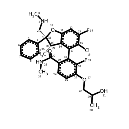 CNC[C@]1(c2ccccc2)Oc2cc(F)c(Cl)c(-c3c(C(=O)NC)ccc(OCC(C)O)c3F)c2[C@@H]1C